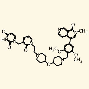 COc1cc(-c2cn(C)c(=O)c3cnccc23)cc(OC)c1CN1CCC(OC2CCN(CCn3cccc(Cn4ccc(=O)[nH]c4=O)c3=O)CC2)CC1